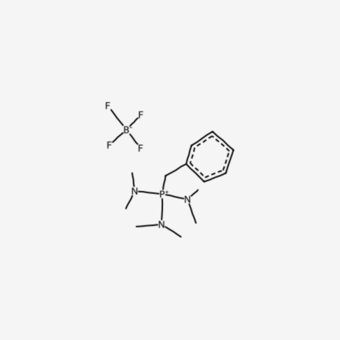 CN(C)[P+](Cc1ccccc1)(N(C)C)N(C)C.F[B-](F)(F)F